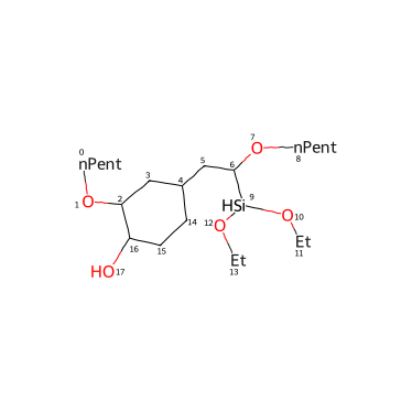 CCCCCOC1CC(CC(OCCCCC)[SiH](OCC)OCC)CCC1O